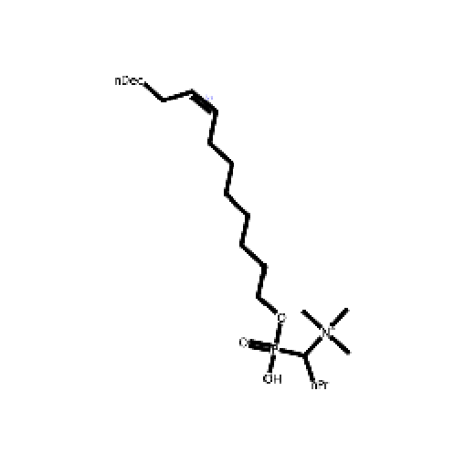 CCCCCCCCCCC/C=C\CCCCCCCOP(=O)(O)C(CCC)[N+](C)(C)C